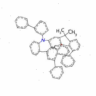 CC1(C)c2cc(N(c3cccc(-c4ccccc4)c3)c3ccccc3-c3cc(-c4ccccc4)c4ccccc4c3)ccc2-c2c(-c3ccccc3)cccc21